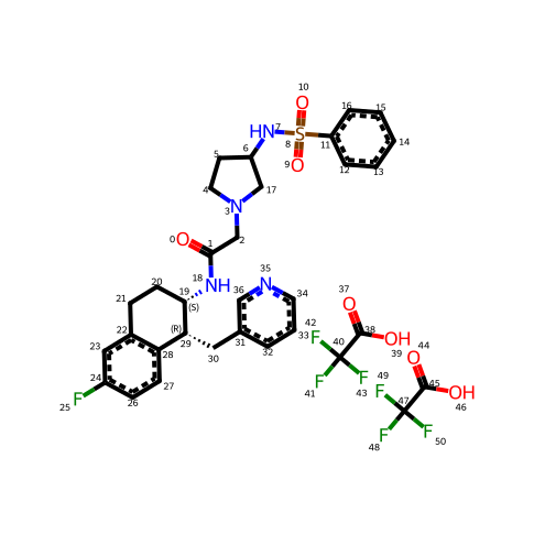 O=C(CN1CCC(NS(=O)(=O)c2ccccc2)C1)N[C@H]1CCc2cc(F)ccc2[C@H]1Cc1cccnc1.O=C(O)C(F)(F)F.O=C(O)C(F)(F)F